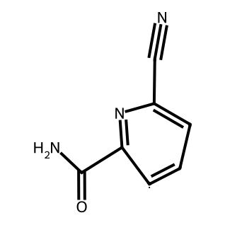 N#Cc1cc[c]c(C(N)=O)n1